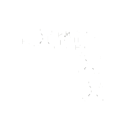 O.O.O.O.O.O.[Eu+3].[O-][Cl+3]([O-])([O-])[O-].[O-][Cl+3]([O-])([O-])[O-].[O-][Cl+3]([O-])([O-])[O-]